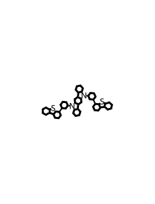 c1cc(-c2cccc3c2sc2ccccc23)cc(-n2c3ccccc3c3cc4c(cc32)c2ccccc2n4-c2cccc(-c3cccc4c3sc3ccccc34)c2)c1